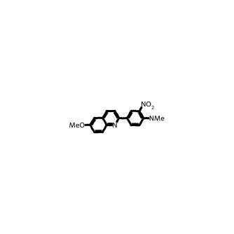 CNc1ccc(-c2ccc3cc(OC)ccc3n2)cc1[N+](=O)[O-]